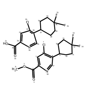 COC(=O)c1cc(Cl)c(C2CCC(F)(F)CC2)cn1.O=C(O)c1cc(Cl)c(C2CCC(F)(F)CC2)cn1